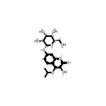 CC(C)Oc1c(O)c(=O)oc2cc(O[C@H]3O[C@H](CO)[C@@H](O)[C@H](O)[C@@H]3O)ccc12